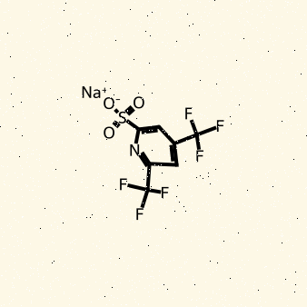 O=S(=O)([O-])c1cc(C(F)(F)F)cc(C(F)(F)F)n1.[Na+]